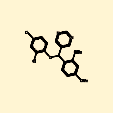 COc1ccc(C(Oc2ccc(Cl)cc2Cl)c2cncnc2)c(OC)c1